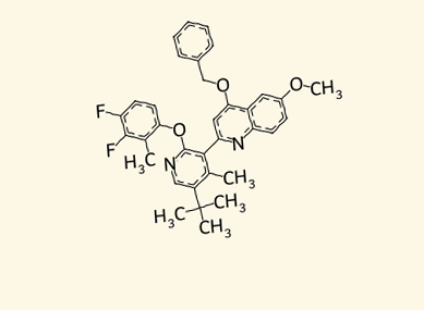 COc1ccc2nc(-c3c(Oc4ccc(F)c(F)c4C)ncc(C(C)(C)C)c3C)cc(OCc3ccccc3)c2c1